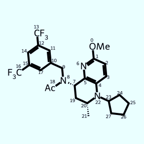 COc1ccc2c(n1)[C@@H](N(Cc1cc(C(F)(F)F)cc(C(F)(F)F)c1)C(C)=O)C[C@@H](C)N2C1CCCC1